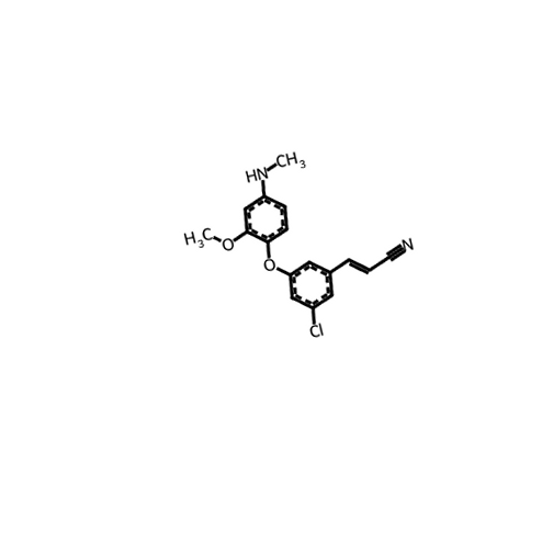 CNc1ccc(Oc2cc(Cl)cc(C=CC#N)c2)c(OC)c1